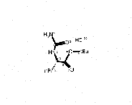 CCC[C@H](NC(N)=O)C(=O)OC(C)(C)C.Cl